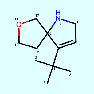 CC(C)(C)C1=CCNC12CCOC2